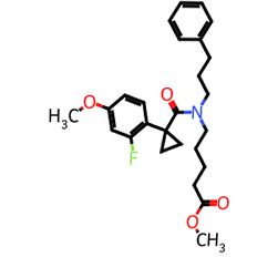 COC(=O)CCCCN(CCCc1ccccc1)C(=O)C1(c2ccc(OC)cc2F)CC1